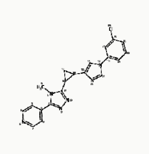 Cn1c(-c2ccncc2)nnc1C1CC1c1cn(-c2cccc(Cl)c2)cn1